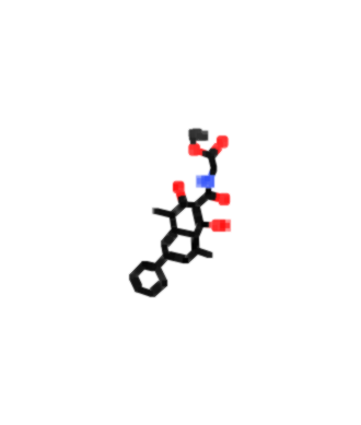 Cc1cc(-c2ccccc2)cc2c1C(O)=C(C(=O)NCC(=O)OC(C)(C)C)C(=O)C2C